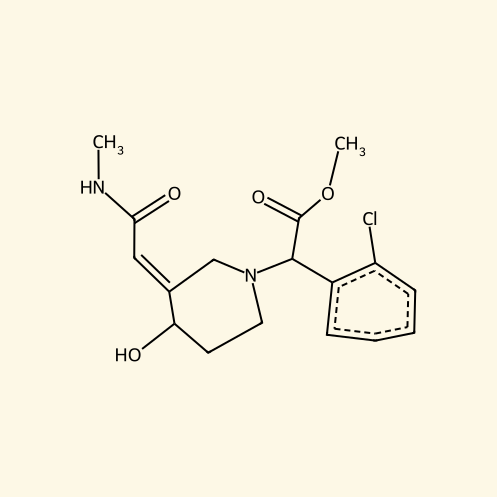 CNC(=O)/C=C1\CN(C(C(=O)OC)c2ccccc2Cl)CCC1O